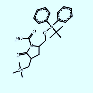 CC(C)(C)[Si](OCC1CC([CH2][Sn]([CH3])([CH3])[CH3])C(=O)N1C(=O)O)(c1ccccc1)c1ccccc1